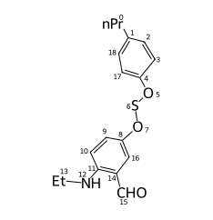 CCCc1ccc(OSOc2ccc(NCC)c(C=O)c2)cc1